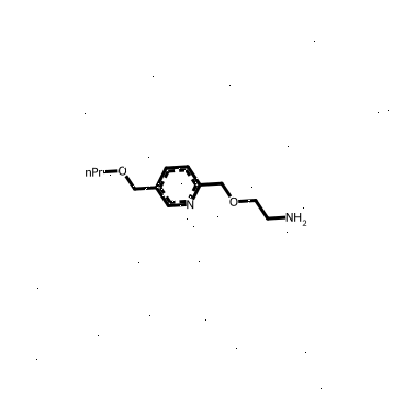 CCCOCc1ccc(COCCN)nc1